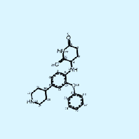 O=C1CCC(Nc2ccc(C3CCNCC3)cc2Oc2ccccc2)C(=O)N1